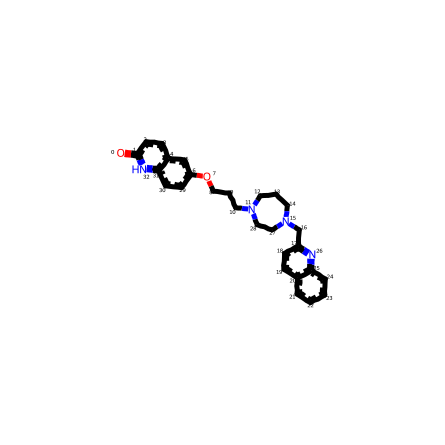 O=c1ccc2cc(OCCCN3CCCN(Cc4ccc5ccccc5n4)CC3)ccc2[nH]1